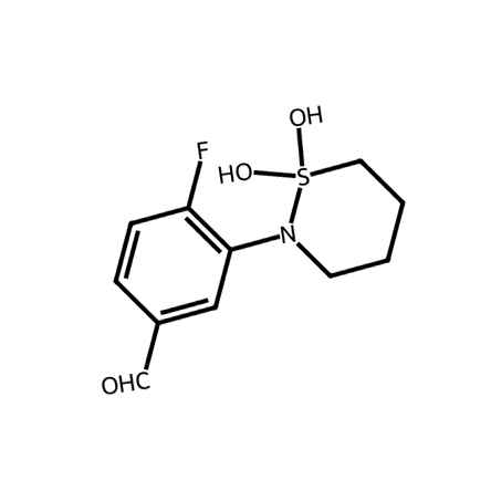 O=Cc1ccc(F)c(N2CCCCS2(O)O)c1